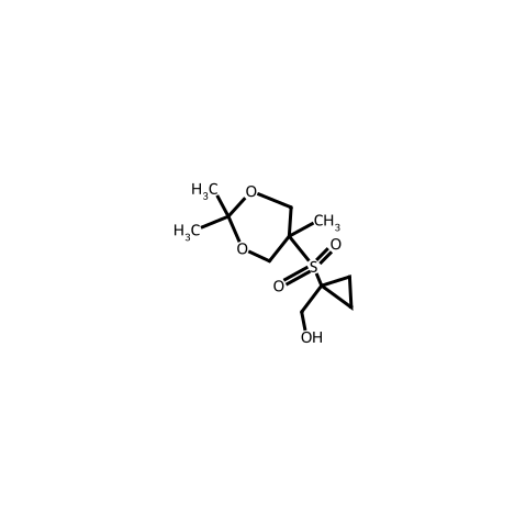 CC1(C)OCC(C)(S(=O)(=O)C2(CO)CC2)CO1